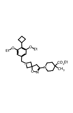 CCOC(=O)C1(C)CCN(C2=NOC3(C2)CN(Cc2cc(OCC)c(C4CCC4)c(OCC)c2)C3)CC1